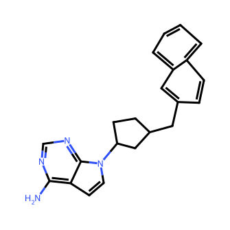 Nc1ncnc2c1ccn2C1CCC(Cc2ccc3ccccc3c2)C1